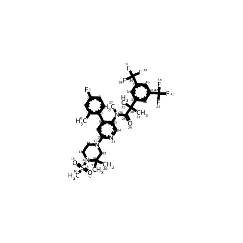 Cc1cc(F)ccc1-c1cc(N2CCN(S(C)(=O)=O)C(C)(C)C2)ncc1N(C)C(=O)C(C)(C)c1cc(C(F)(F)F)cc(C(F)(F)F)c1